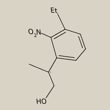 CCc1cccc([C](C)CO)c1[N+](=O)[O-]